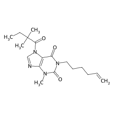 C=CCCCCn1c(=O)c2c(ncn2C(=O)C(C)(C)CC)n(C)c1=O